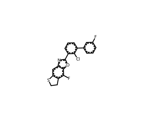 Fc1cccc(-c2cccc(-c3nc4cc5c(c(F)c4o3)CCS5)c2Cl)c1